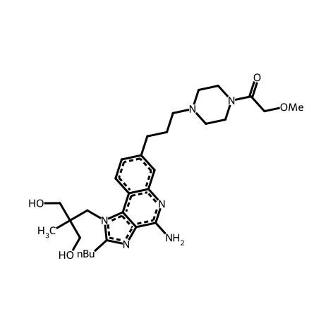 CCCCc1nc2c(N)nc3cc(CCCN4CCN(C(=O)COC)CC4)ccc3c2n1CC(C)(CO)CO